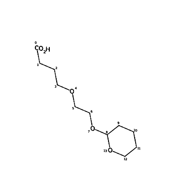 O=C(O)CCCOCCOC1CCCCO1